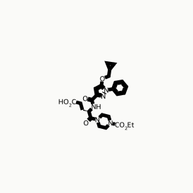 CCOC(=O)N1CCN(C(=O)[C@H](CCC(=O)O)NC(=O)c2cc(OCC3CC3)n(-c3ccccc3)n2)CC1